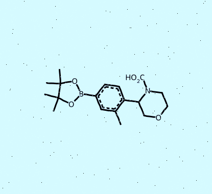 Cc1cc(B2OC(C)(C)C(C)(C)O2)ccc1C1COCCN1C(=O)O